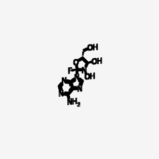 Nc1ncnc2c1ncn2[C@]1(F)O[C@H](CO)[C@@H](O)N1O